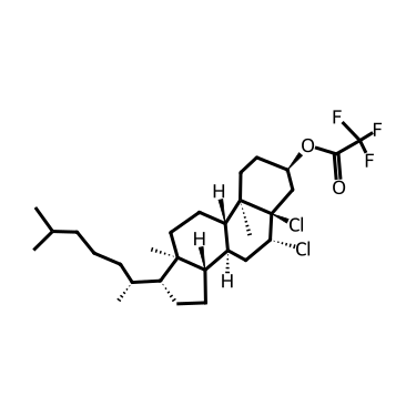 CC(C)CCC[C@@H](C)[C@H]1CC[C@H]2[C@@H]3C[C@@H](Cl)[C@@]4(Cl)C[C@H](OC(=O)C(F)(F)F)CC[C@]4(C)[C@H]3CC[C@]12C